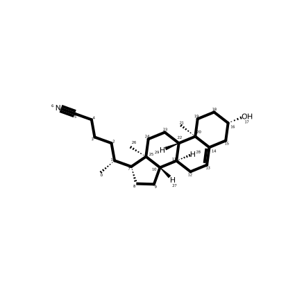 C[C@H](CCCC#N)[C@H]1CC[C@H]2[C@@H]3CC=C4C[C@@H](O)CC[C@]4(C)[C@H]3CC[C@]12C